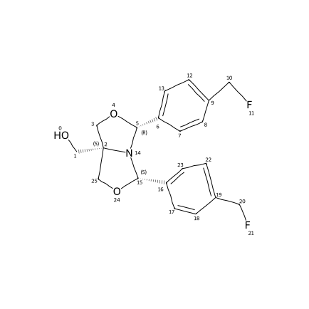 OC[C@]12CO[C@H](c3ccc(CF)cc3)N1[C@H](c1ccc(CF)cc1)OC2